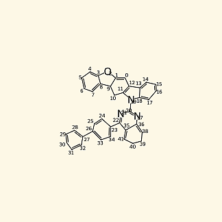 C1=C2Oc3ccccc3C2Cc2c1c1ccccc1n2-c1nc(-c2ccc(-c3ccccc3)cc2)c2c(n1)=CCCC=2